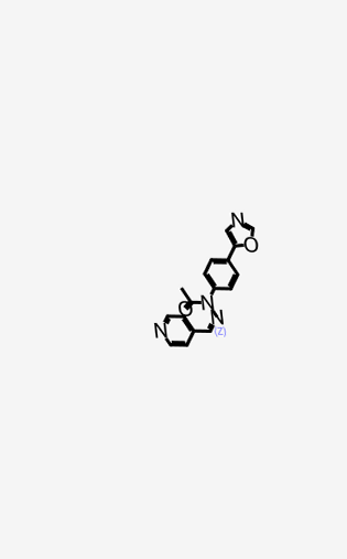 CC(=O)N(/N=C\c1ccncc1)c1ccc(-c2cnco2)cc1